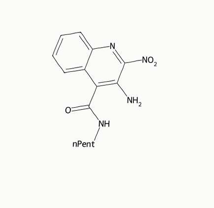 CCCCCNC(=O)c1c(N)c([N+](=O)[O-])nc2ccccc12